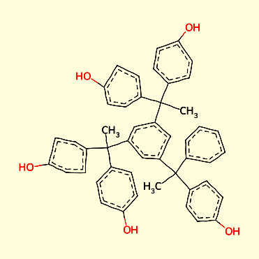 CC(c1ccccc1)(c1ccc(O)cc1)c1cc(C(C)(c2ccc(O)cc2)c2ccc(O)cc2)cc(C(C)(c2ccc(O)cc2)c2ccc(O)cc2)c1